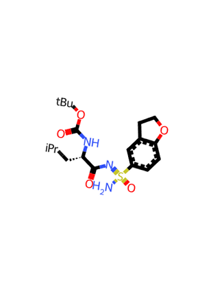 CC(C)C[C@H](NC(=O)OC(C)(C)C)C(=O)N=S(N)(=O)c1ccc2c(c1)CCO2